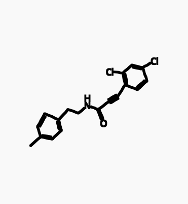 Cc1ccc(CCNC(=O)C#Cc2ccc(Cl)cc2Cl)cc1